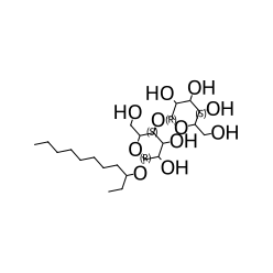 CCCCCCCCC(CC)O[C@@H]1OC(CO)[C@@H](O[C@H]2OC(CO)[C@@H](O)C(O)C2O)C(O)C1O